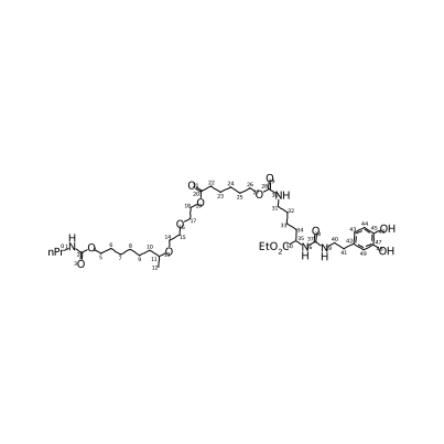 CCCNC(=O)OCCCCCCC(C)OCCOCCOC(=O)CCCCCOC(=O)NCCCCC(NC(=O)NCCc1ccc(O)c(O)c1)C(=O)OCC